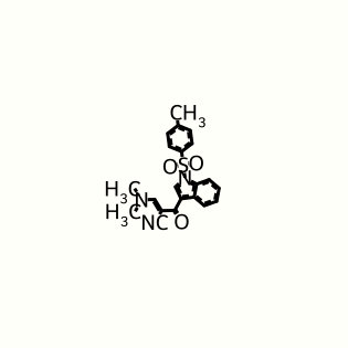 Cc1ccc(S(=O)(=O)n2cc(C(=O)C(C#N)=CN(C)C)c3ccccc32)cc1